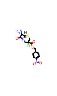 NC1C(=O)N2CC(Cl)(C(=O)OCc3ccc([N+](=O)[O-])cc3)CS[C@H]12